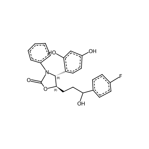 O=C1O[C@H](CCC(O)c2ccc(F)cc2)[C@@H](c2ccc(O)cc2O)N1c1ccccc1